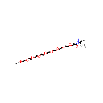 CCCOCCOCCOCCOCCOCCOCCOCCOCCOCCC(=O)NC(C)C(C)C